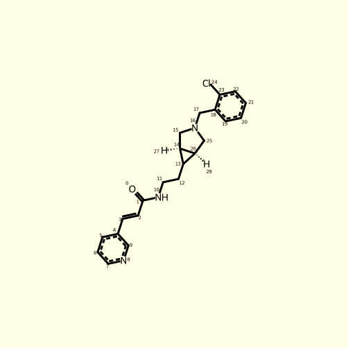 O=C(/C=C/c1cccnc1)NCCC1[C@H]2CN(Cc3ccccc3Cl)C[C@@H]12